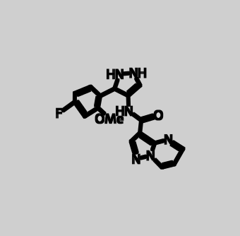 COc1cc(F)ccc1C1NNC=C1NC(=O)c1cnn2cccnc12